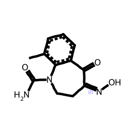 Cc1cccc2c1N(C(N)=O)CC/C(=N/O)C2=O